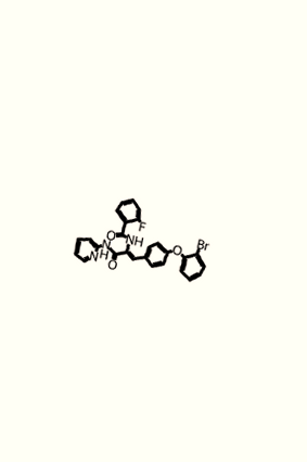 O=C(Nc1ccccn1)/C(=C/c1ccc(Oc2ccccc2Br)cc1)NC(=O)c1ccccc1F